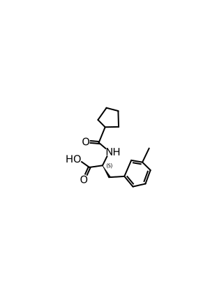 Cc1cccc(C[C@H](NC(=O)C2CCCC2)C(=O)O)c1